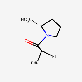 CCCCC(CC)C(=O)N1CCC[C@H]1C(=O)O